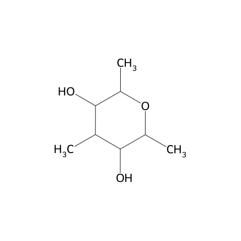 CC1OC(C)C(O)C(C)C1O